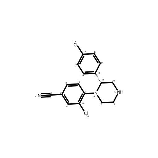 N#Cc1ccc(N2CCNC[C@H]2c2ccc(Cl)cc2)c(Cl)c1